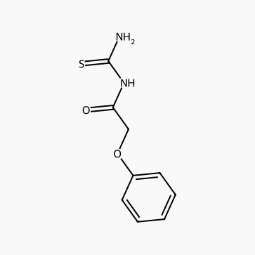 NC(=S)NC(=O)COc1ccccc1